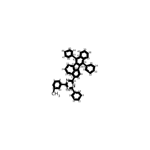 Cc1cccc(-c2nc(-c3ccccc3)nc(-c3ccc4c5c(cccc35)-c3c-4c(-c4ccccc4)c4ccccc4c3-c3ccccc3)n2)c1